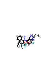 C=CC1CC(O)(C(F)(F)F)C(Nc2ccc(F)c3nc(C)ncc23)c2ccccc21